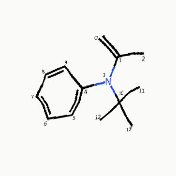 C=C(C)N(c1ccccc1)C(C)(C)C